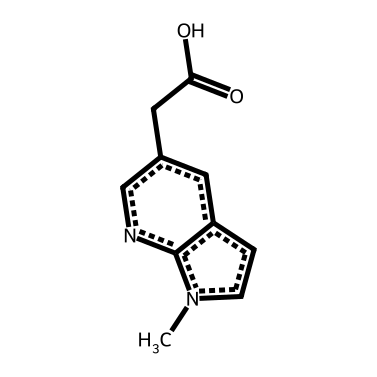 Cn1ccc2cc(CC(=O)O)cnc21